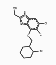 OCc1nc2c(OCC3CCCC[C@@H]3O)c(Cl)c(Cl)cc2[nH]1